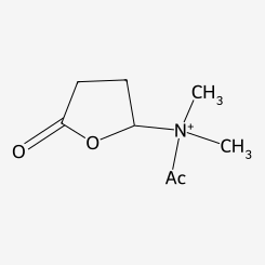 CC(=O)[N+](C)(C)C1CCC(=O)O1